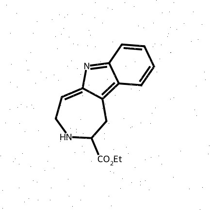 CCOC(=O)C1CC2=c3ccccc3=NC2=CCN1